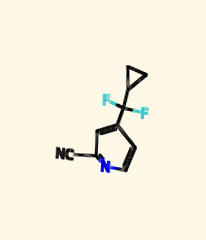 N#Cc1cc(C(F)(F)C2CC2)ccn1